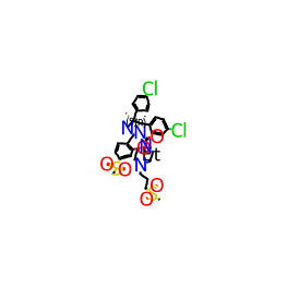 CCOc1cc(S(C)(=O)=O)ccc1C1=N[C@@](C)(c2ccc(Cl)cc2)[C@@](C)(c2ccc(Cl)cc2)N1C(=O)N1CCN(CCCS(C)(=O)=O)CC1